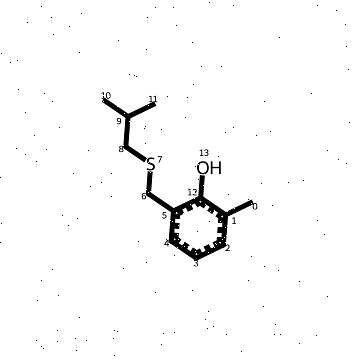 Cc1cccc(CSCC(C)C)c1O